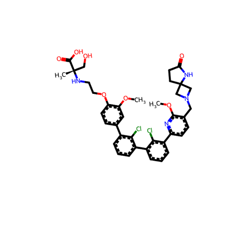 COc1cc(-c2cccc(-c3cccc(-c4ccc(CN5CC6(CCC(=O)N6)C5)c(OC)n4)c3Cl)c2Cl)ccc1OCCN[C@@](C)(CO)C(=O)O